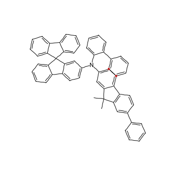 CC1(C)c2cc(-c3ccccc3)ccc2-c2ccc(N(c3ccc4c(c3)C3(c5ccccc5-c5ccccc53)c3ccccc3-4)c3ccccc3-c3ccccc3)cc21